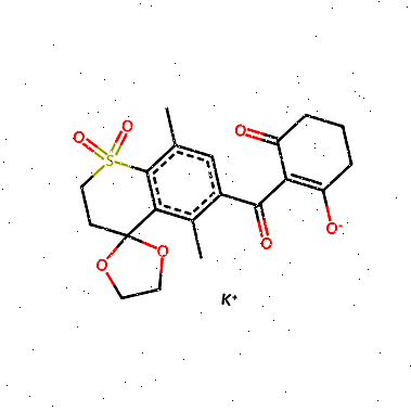 Cc1cc(C(=O)C2=C([O-])CCCC2=O)c(C)c2c1S(=O)(=O)CCC21OCCO1.[K+]